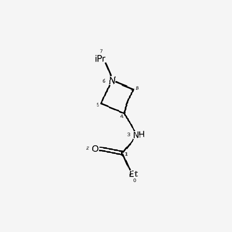 CCC(=O)NC1CN(C(C)C)C1